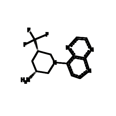 N[C@@H]1C[C@H](C(F)(F)F)CN(c2ccnc3nccnc23)C1